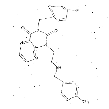 Cc1ccc(CNCCn2c(=O)n(Cc3ccc(F)cc3)c(=O)c3nccnc32)cc1